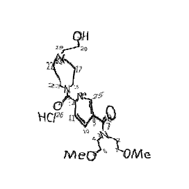 COCCN(CCOC)C(=O)c1ccc(C(=O)N2CCN(CCO)CC2)nc1.Cl